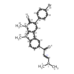 CN(C)/C=C/C(=O)c1ccc2c(c1)c1cc(-c3ccc(Br)cc3)c(=O)n(C)c1n2C